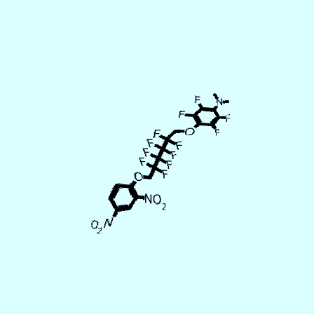 CN(C)c1c(F)c(F)c(OCC(F)(F)C(F)(F)C(F)(F)C(F)(F)COc2ccc([N+](=O)[O-])cc2[N+](=O)[O-])c(F)c1F